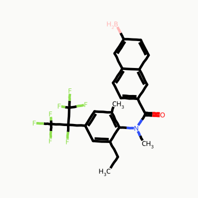 Bc1ccc2cc(C(=O)N(C)c3c(C)cc(C(F)(C(F)(F)F)C(F)(F)F)cc3CC)ccc2c1